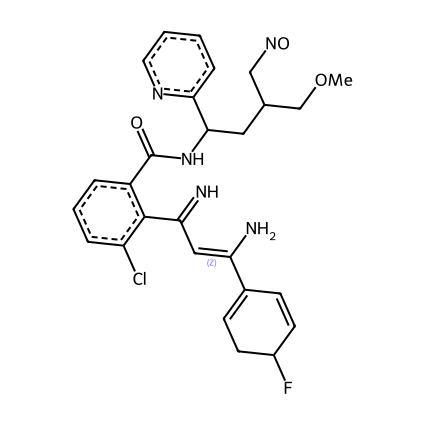 COCC(CN=O)CC(NC(=O)c1cccc(Cl)c1C(=N)/C=C(\N)C1=CCC(F)C=C1)c1ccccn1